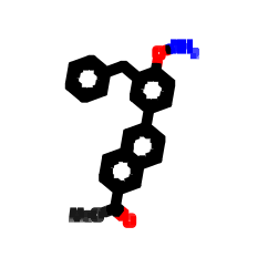 COC(=O)c1ccc2cc(-c3ccc(ON)c(Cc4ccccc4)c3)ccc2c1